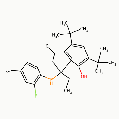 CCCC(CC)(Pc1ccc(C)cc1F)c1cc(C(C)(C)C)cc(C(C)(C)C)c1O